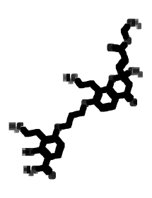 CCCc1c(OCCCOc2ccc3c(c2CCC)OC(C)(C=CC(=O)OCC)CC3=O)ccc(C(C)=O)c1O